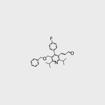 CC(C)c1nc(C(C)C)c(COCc2ccccc2)c(-c2ccc(F)cc2)c1C=CC=O